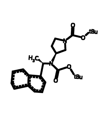 C[C@@H](c1cccc2ccccc12)N(C(=O)OC(C)(C)C)[C@H]1CCN(C(=O)OC(C)(C)C)C1